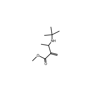 C=C(C(=O)OC)C(C)NC(C)(C)C